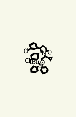 CC(C)(C)[Si](OCC(C1CC1)N1C(=O)CCC(c2cccc(Cl)c2)[C@H]1c1ccc(Cl)cc1)(c1ccccc1)c1ccccc1